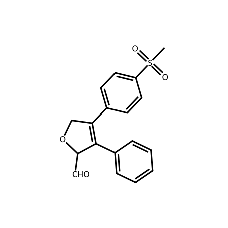 CS(=O)(=O)c1ccc(C2=C(c3ccccc3)C(C=O)OC2)cc1